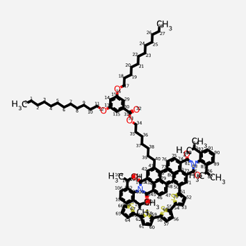 CCCCCCCCCCCCOc1cc(OCCCCCCCCCCCC)cc(C(=O)OCCCCCCCc2cc3c4c(ccc5c6c(-c7ccc(-c8ccc(-c9ccc(-c%10cccs%10)s9)s8)s7)cc7c8c(ccc(c2c45)c86)C(=O)N(c2c(C(C)C)cccc2C(C)C)C7=O)C(=O)N(c2c(C(C)C)cccc2C(C)C)C3=O)c1